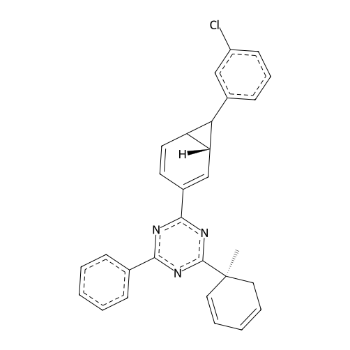 C[C@@]1(c2nc(C3=C[C@@H]4C(C=C3)C4c3cccc(Cl)c3)nc(-c3ccccc3)n2)C=CC=CC1